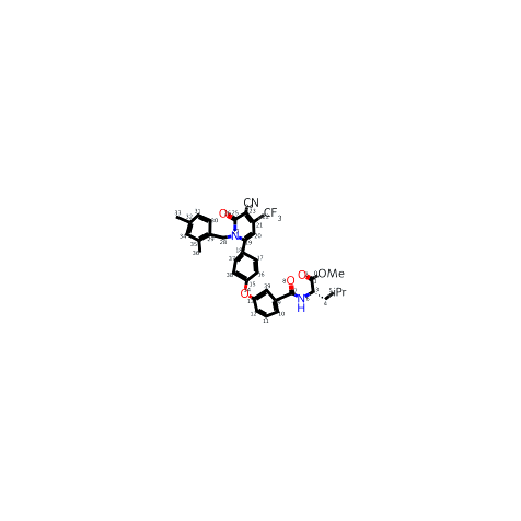 COC(=O)[C@H](CC(C)C)NC(=O)c1cccc(Oc2ccc(-c3cc(C(F)(F)F)c(C#N)c(=O)n3Cc3ccc(C)cc3C)cc2)c1